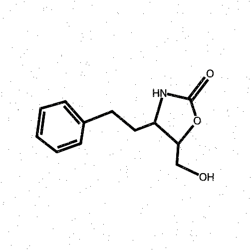 O=C1NC(CCc2ccccc2)C(CO)O1